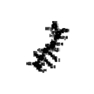 Cc1cc(N=Nc2c(S(=O)(=O)O)cc3c(S(=O)(=O)O)c(N=Nc4cc(S(=O)(=O)O)c5cc(SOOO)c(N=Nc6ccc([N+](=O)[O-])cc6S(=O)(=O)O)c(O)c5c4N)ccc3c2O)c(OCCCSOOO)cc1N=Nc1cc(OCCO)c(N=Nc2cc(S(=O)(=O)O)cc3cc(S(=O)(=O)O)cc(O)c23)cc1OCCCSOOO